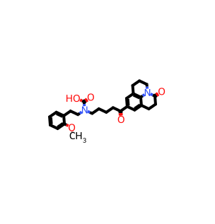 COc1ccccc1CCN(CCCCC(=O)c1cc2c3c(c1)CCC(=O)N3CCC2)C(=O)O